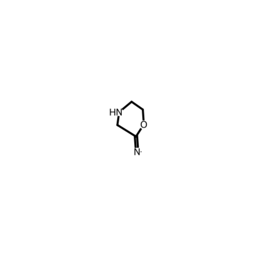 [N]=C1CNCCO1